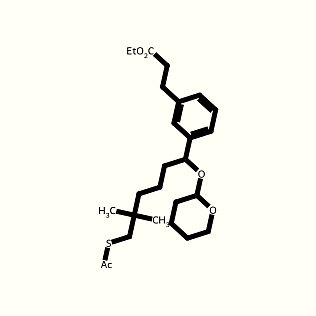 CCOC(=O)CCc1cccc(C(CCCC(C)(C)CSC(C)=O)OC2CCCCO2)c1